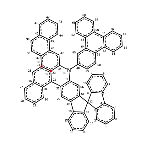 c1ccc2c(c1)-c1ccccc1C21c2ccccc2-c2cc(-c3cccc4ccccc34)c(N(c3ccc4ccc5ccccc5c4c3)c3ccc4c5ccccc5c5ccccc5c4c3)cc21